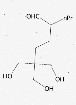 CCCC([C]=O)CCC(CO)(CO)CO